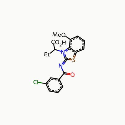 CCC(C(=O)O)n1c(=NC(=O)c2cccc(Cl)c2)sc2cccc(OC)c21